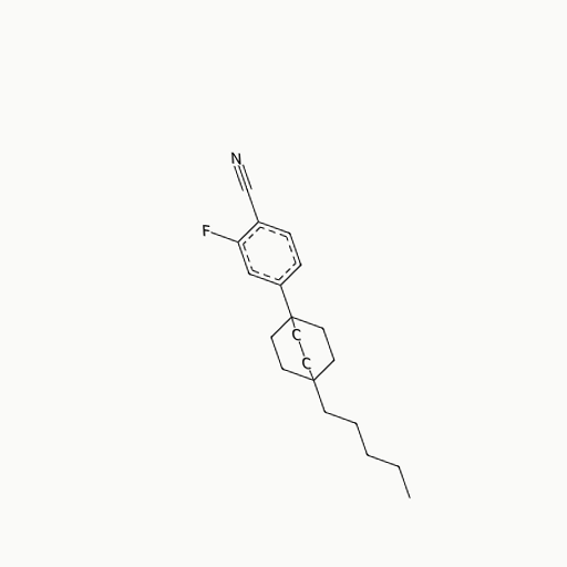 CCCCCC12CCC(c3ccc(C#N)c(F)c3)(CC1)CC2